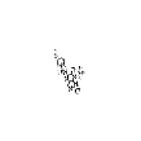 CCSc1ccc(CNc2nc3cnc(Cl)nc3n(C(C)C(F)(F)F)c2=O)nc1